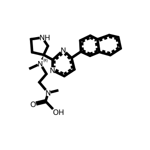 CN(CCN(C)[C@]1(c2nccc(-c3ccc4ccccc4c3)n2)CCNC1)C(=O)O